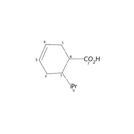 CC(C)C1CC=CCC1C(=O)O